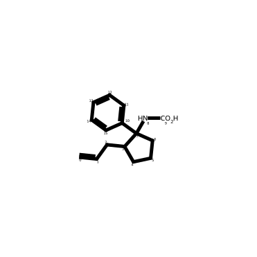 C=CCC1CCCC1(NC(=O)O)c1ccccc1